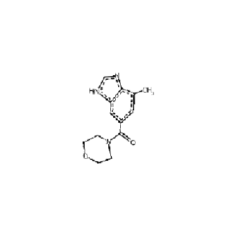 Cc1cc(C(=O)N2CCOCC2)cc2[nH]cnc12